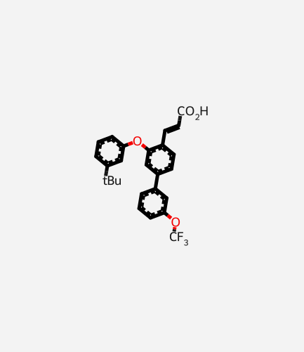 CC(C)(C)c1cccc(Oc2cc(-c3cccc(OC(F)(F)F)c3)ccc2/C=C/C(=O)O)c1